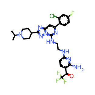 CC(C)N1CCC(c2nc3cc(-c4ccc(F)cc4Cl)nc(NCCNc4ccc(C(=O)C(F)(F)F)c(N)n4)n3n2)CC1